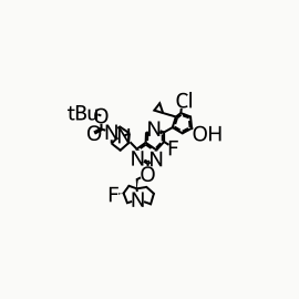 CC(C)(C)OC(=O)N1CC2CCC1CN2c1nc(OC[C@@]23CCCN2C[C@H](F)C3)nc2c(F)c(-c3cc(O)cc(Cl)c3C3CC3)ncc12